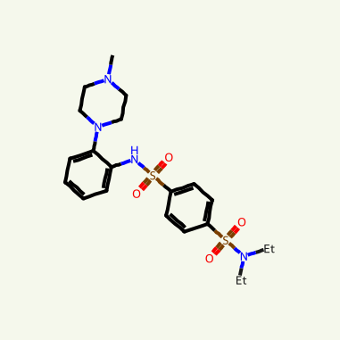 CCN(CC)S(=O)(=O)c1ccc(S(=O)(=O)Nc2ccccc2N2CCN(C)CC2)cc1